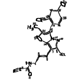 CCC(=O)NCCCc1c(CC)nn2c(-c3ccc(Cl)cc3Cl)c(C)oc12